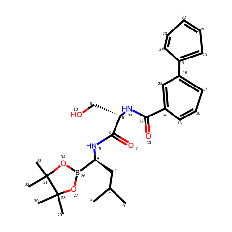 CC(C)C[C@H](NC(=O)[C@H](CO)NC(=O)c1cccc(-c2ccccc2)c1)B1OC(C)(C)C(C)(C)O1